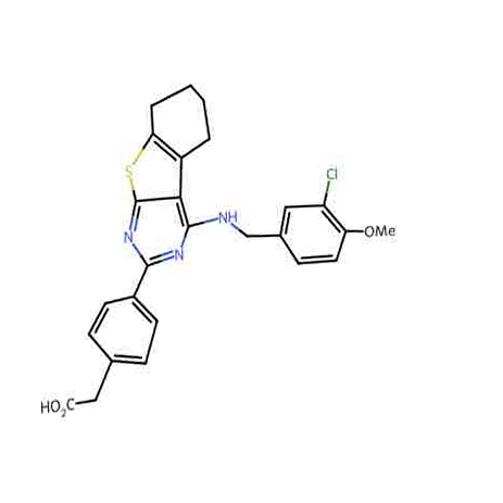 COc1ccc(CNc2nc(-c3ccc(CC(=O)O)cc3)nc3sc4c(c23)CCCC4)cc1Cl